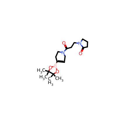 CC1(C)OB(C2=CCN(C(=O)CCN3CCCC3=O)CC2)OC1(C)C